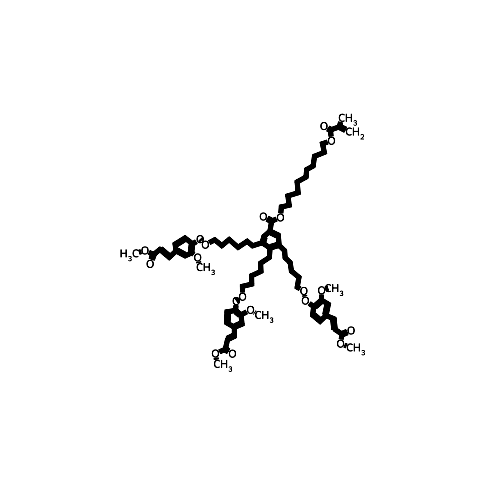 C=C(C)C(=O)OCCCCCCCCCCCOC(=O)c1cc(CCCCCCOOc2ccc(C=CC(=O)OC)cc2OC)c(CCCCCCOOc2ccc(C=CC(=O)OC)cc2OC)c(CCCCCCOOc2ccc(C=CC(=O)OC)cc2OC)c1